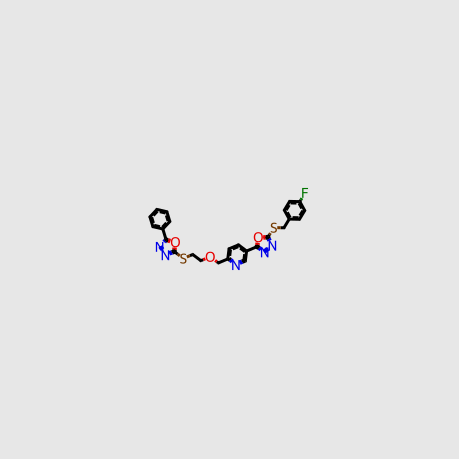 Fc1ccc(CSc2nnc(-c3ccc(COCCSc4nnc(-c5ccccc5)o4)nc3)o2)cc1